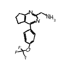 NCc1nc2c(c(-c3ccc(OC(F)(F)F)cc3)n1)CCC2